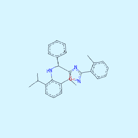 Cc1ccccc1-c1noc(C(Nc2c(C(C)C)cccc2C(C)C)c2ccccc2)n1